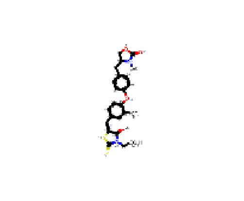 CCN1C(=O)OCC1Cc1ccc(Oc2ccc(/C=C3/SC(=S)N(CC(=O)O)C3=O)cc2C(F)(F)F)cc1